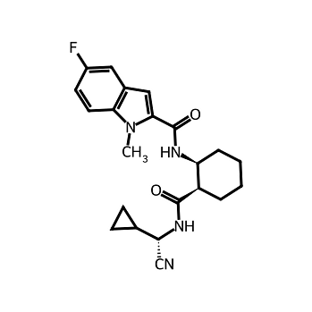 Cn1c(C(=O)N[C@H]2CCCC[C@H]2C(=O)N[C@H](C#N)C2CC2)cc2cc(F)ccc21